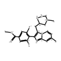 COC(=O)c1cc(F)c(-c2nc3cc(C)ccn3c2CC2CN(C)CCO2)c(F)c1